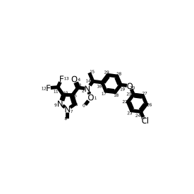 CON(C(=O)c1cn(C)nc1C(F)F)C(C)c1ccc(Oc2ccc(Cl)cc2)cc1